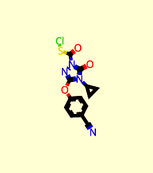 N#Cc1ccc(Oc2nn(C(=O)SCl)c(=O)n2C2CC2)cc1